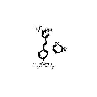 Cc1cc(C=Cc2ccc(N(C)C)cc2)c[nH]1.I.c1ccncc1